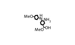 COc1ccc(Nc2ccc(C(O)OC)cc2N)cc1